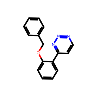 c1ccc(COc2ccccc2-c2ccnnn2)cc1